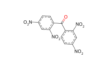 O=C(c1ccc([N+](=O)[O-])cc1[N+](=O)[O-])c1ccc([N+](=O)[O-])cc1[N+](=O)[O-]